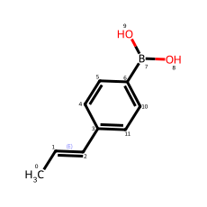 C/C=C/c1ccc(B(O)O)cc1